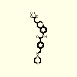 COC(=O)CC1COc2ccc(NC(=O)c3ccc(C=NN4CCSCC4)cc3)cc2C1